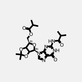 CC(C)C(=O)Nc1nc2c(ncn2[C@@H]2O[C@H](COC(=O)C(C)C)C3OC(C)(C)OC32)c(=O)[nH]1